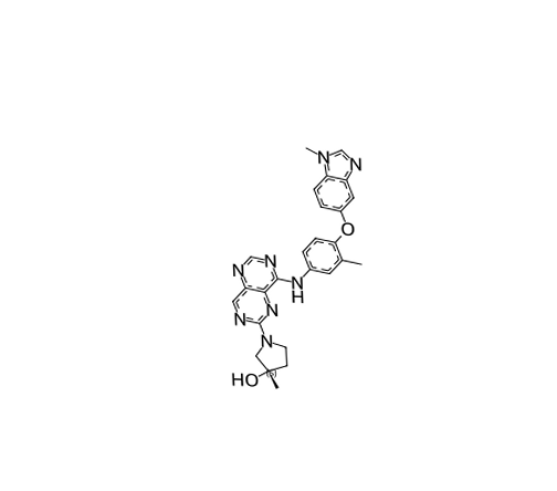 Cc1cc(Nc2ncnc3cnc(N4CC[C@](C)(O)C4)nc23)ccc1Oc1ccc2c(c1)ncn2C